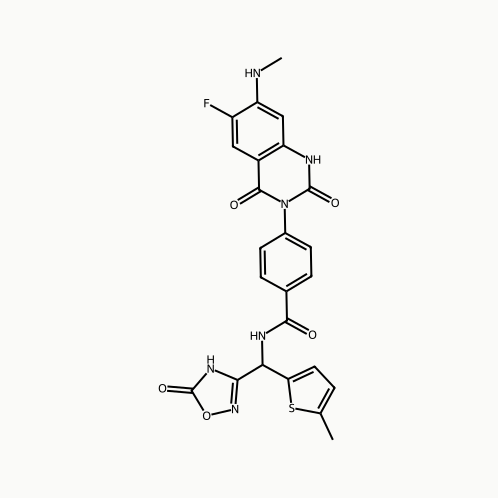 CNc1cc2[nH]c(=O)n(-c3ccc(C(=O)NC(c4noc(=O)[nH]4)c4ccc(C)s4)cc3)c(=O)c2cc1F